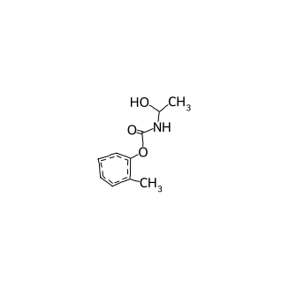 Cc1ccccc1OC(=O)NC(C)O